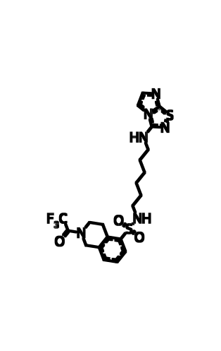 O=C(N1CCc2c(cccc2S(=O)(=O)NCCCCCCNc2nsc3nccn23)C1)C(F)(F)F